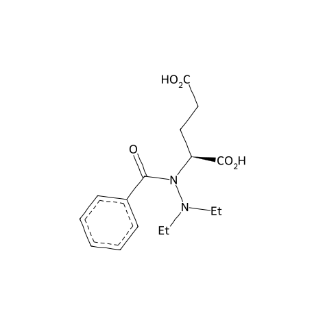 CCN(CC)N(C(=O)c1ccccc1)[C@@H](CCC(=O)O)C(=O)O